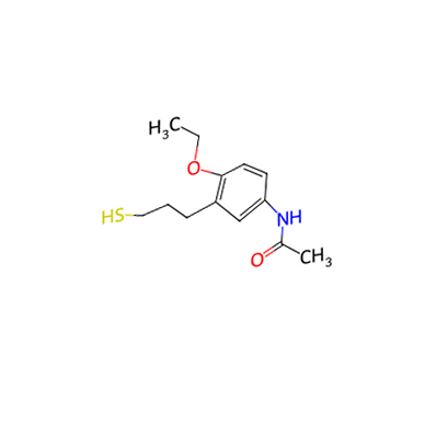 CCOc1ccc(NC(C)=O)cc1CCCS